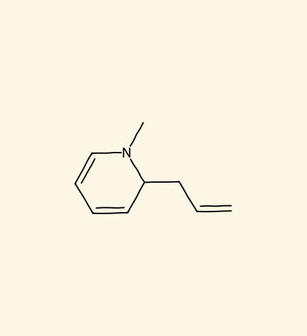 C=CCC1C=CC=CN1C